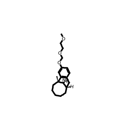 COCCOCOc1ccc2c(c1)[C@@]1(C)CCCCC[C@@H](C2)[C@@H]1N